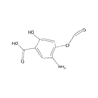 Nc1cc(C(=O)O)c(O)cc1OC=O